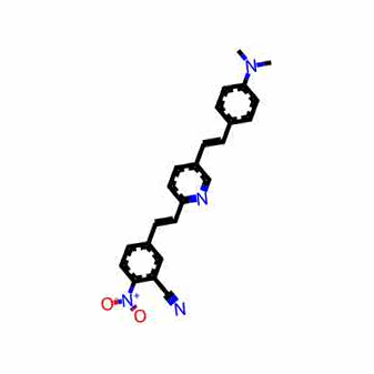 CN(C)c1ccc(/C=C/c2ccc(/C=C/c3ccc([N+](=O)[O-])c(C#N)c3)nc2)cc1